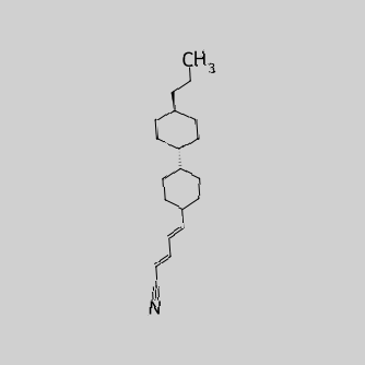 CCC[C@H]1CC[C@H](C2CCC(C=CC=CC#N)CC2)CC1